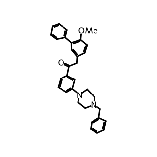 COc1ccc(CC(=O)c2cccc(N3CCN(Cc4ccccc4)CC3)c2)cc1-c1ccccc1